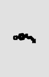 N#C/C=C/Sc1ccc(Cl)cc1